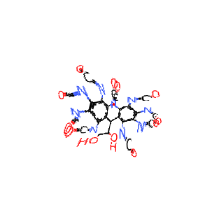 O=C=Nc1c(N=C=O)c(N=C=O)c(C(c2c(N=C=O)c(N=C=O)c(N=C=O)c(N=C=O)c2N=C=O)C(O)CO)c(N=C=O)c1N=C=O